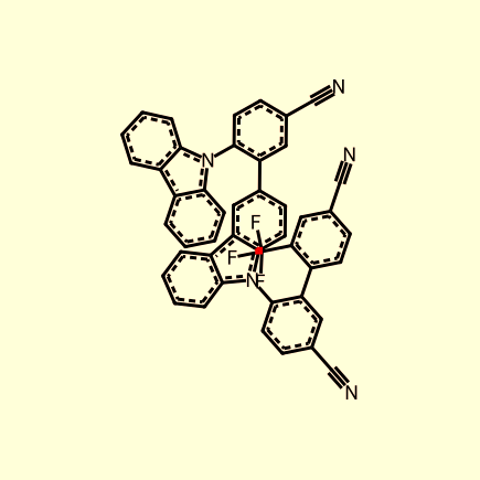 N#Cc1ccc(-n2c3ccccc3c3ccccc32)c(-c2ccc3c(c2)c2ccccc2n3-c2ccc(C#N)cc2-c2ccc(C#N)cc2C(F)(F)F)c1